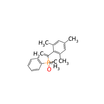 C=C(c1c(C)cc(C)cc1C)[P@](C)(=O)c1ccccc1